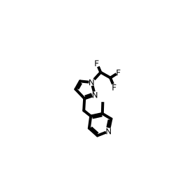 Cc1cnccc1Cc1ccn(C(F)C(F)F)n1